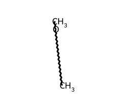 CCCCCCCCCCCCCCCCCCCCCCCCCCCCOCCCC